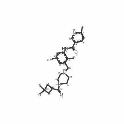 Cc1ccc(C(=O)Nc2cc(F)cc(CN3CCN(C(=O)C4CC(C)(C)C4)CC3)c2C)cn1